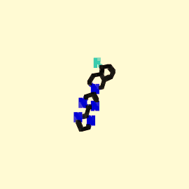 Fc1cccc2c1CCN(c1cnc(-c3ncccn3)nc1)C2